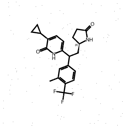 Cc1cc(C(C[C@H]2CCC(=O)N2)c2ccc(C3CC3)c(=O)[nH]2)ccc1C(F)(F)F